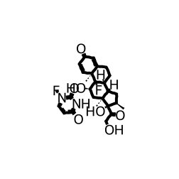 C[C@@H]1C[C@H]2[C@@H]3CCC4=CC(=O)C=C[C@]4(C)[C@@]3(F)[C@@H](O)C[C@]2(C)[C@@]1(O)C(=O)CO.O=c1ccn(F)c(=O)[nH]1